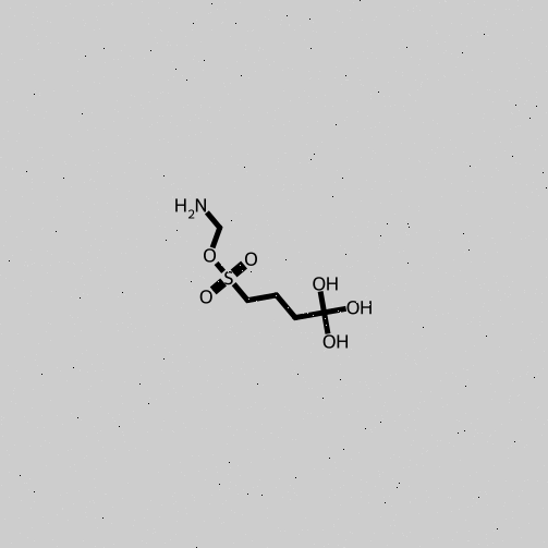 NCOS(=O)(=O)CCCC(O)(O)O